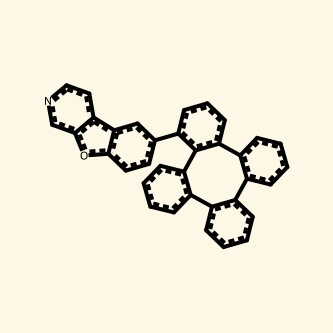 c1ccc2c(c1)-c1ccccc1-c1cccc(-c3ccc4oc5cnccc5c4c3)c1-c1ccccc1-2